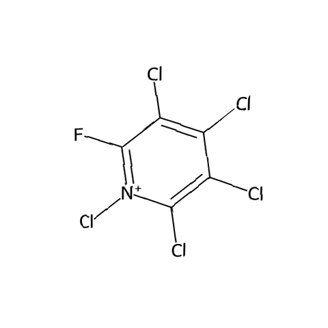 Fc1c(Cl)c(Cl)c(Cl)c(Cl)[n+]1Cl